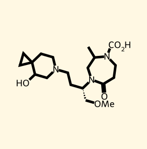 COC[C@H](CCN1CCC2(CC2)C(O)C1)N1CC(C)N(C(=O)O)CCC1=O